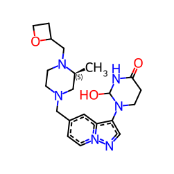 C[C@H]1CN(Cc2ccn3ncc(N4CCC(=O)NC4O)c3c2)CCN1CC1CCO1